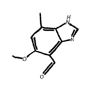 COc1cc(C)c2[nH]cnc2c1C=O